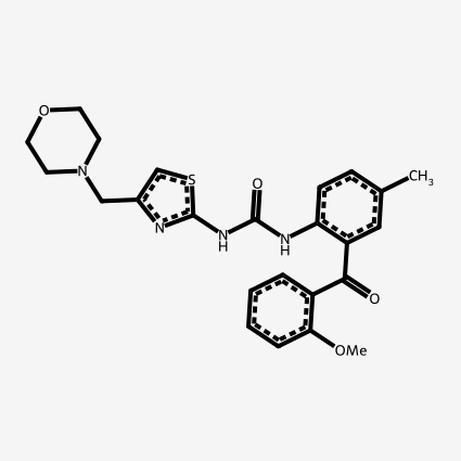 COc1ccccc1C(=O)c1cc(C)ccc1NC(=O)Nc1nc(CN2CCOCC2)cs1